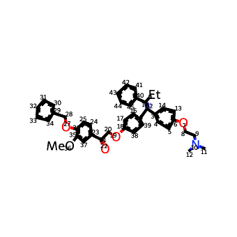 CC/C(=C(\c1ccc(OCCN(C)C)cc1)c1ccc(OCC(=O)c2ccc(OCc3ccccc3)c(OC)c2)cc1)c1ccccc1